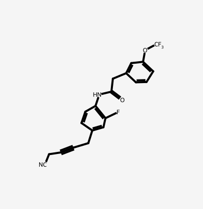 N#CCC#CCc1ccc(NC(=O)Cc2cccc(OC(F)(F)F)c2)c(F)c1